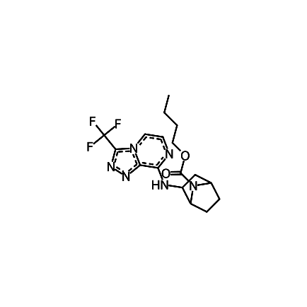 CCCCOC(=O)N1C2CCC1C(Nc1nccn3c(C(F)(F)F)nnc13)C2